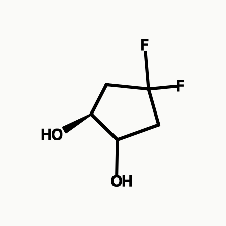 OC1CC(F)(F)C[C@@H]1O